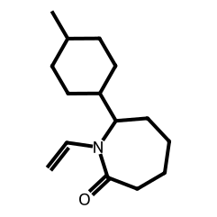 C=CN1C(=O)CCCCC1C1CCC(C)CC1